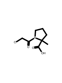 CC1(C(=O)O)CCCN1C(=O)CCl